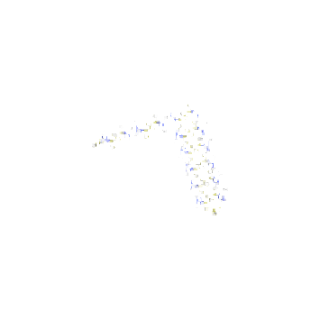 CN(C)C(=S)SSC(=S)N(C)C.CN(C)C(=S)SSC(=S)N(C)C.CN(C)C(=S)SSC(=S)N(C)C.CN(C)C(=S)SSC(=S)N(C)C.CN(C)C(=S)SSC(=S)N(C)C.CN(C)C(=S)SSC(=S)N(C)C.CN(C)C(=S)SSC(=S)N(C)C.CN(C)C(=S)SSC(=S)N(C)C.[S-2].[S-2].[S-2].[S-2]